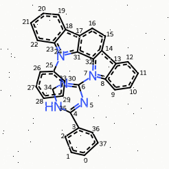 c1ccc(C2=NC(n3c4ccccc4c4ccc5c6ccccc6n(-c6ccccc6)c5c43)=NCN2)cc1